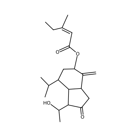 C=C1C(OC(=O)C=C(C)CC)CC(C(C)C)C2C1CC(=O)C2C(C)O